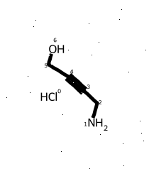 Cl.NCC#CCO